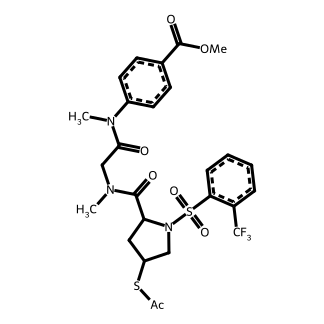 COC(=O)c1ccc(N(C)C(=O)CN(C)C(=O)C2CC(SC(C)=O)CN2S(=O)(=O)c2ccccc2C(F)(F)F)cc1